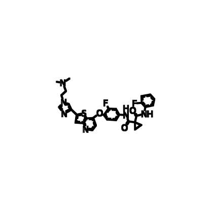 CN(C)CCn1cnc(-c2cc3nccc(Oc4ccc(NC(=O)C5(C(=O)Nc6ccccc6F)CC5)cc4F)c3s2)c1